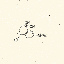 CC(=O)Nc1ccc2c(c1)S(O)(O)CCC2C1CC1